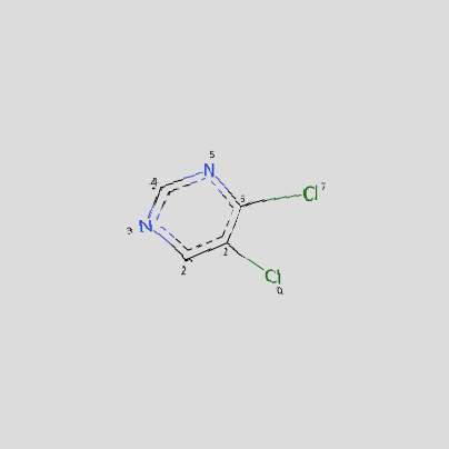 Clc1[c]n[c]nc1Cl